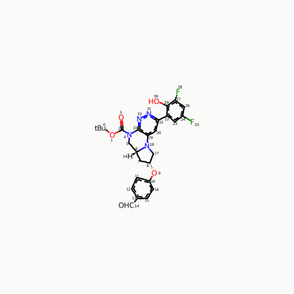 CC(C)(C)OC(=O)N1C[C@H]2C[C@@H](Oc3ccc(C=O)cc3)CN2c2cc(-c3cc(F)cc(F)c3O)nnc21